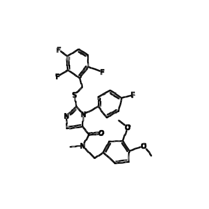 COc1ccc(CN(C)C(=O)c2cnc(SCc3c(F)ccc(F)c3F)n2-c2ccc(F)cc2)cc1OC